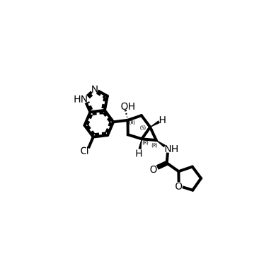 O=C(N[C@H]1[C@@H]2C[C@@](O)(c3cc(Cl)cc4[nH]ncc34)C[C@@H]21)C1CCCO1